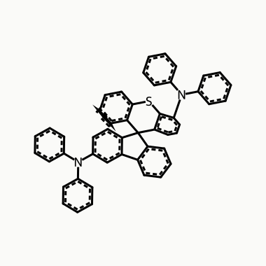 c1ccc(N(c2ccccc2)c2ccc3c(c2)-c2ccccc2C32c3cccc(N(c4ccccc4)c4ccccc4)c3Sc3ccc4ccccc4c32)cc1